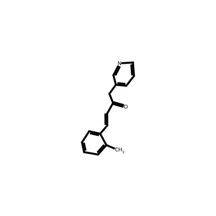 Cc1ccccc1C=CC(=O)Cc1cccnc1